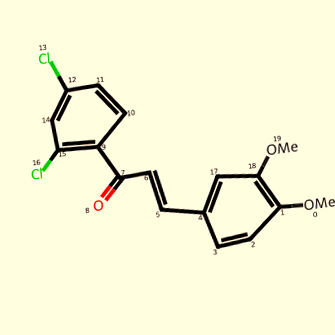 COc1ccc(C=CC(=O)c2ccc(Cl)cc2Cl)cc1OC